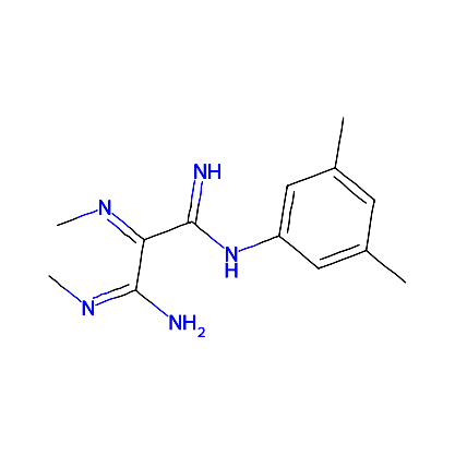 C/N=C(C(=N)Nc1cc(C)cc(C)c1)\C(N)=N/C